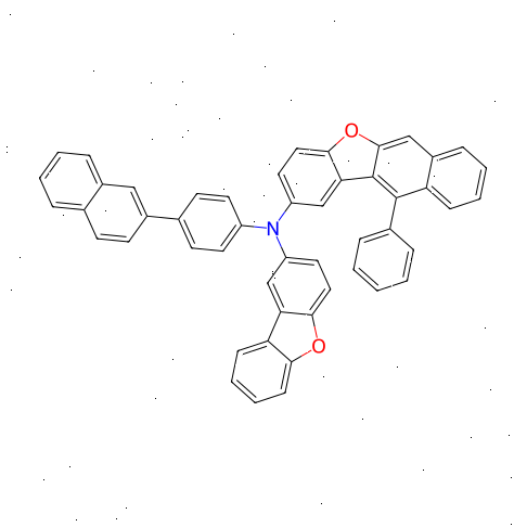 c1ccc(-c2c3ccccc3cc3oc4ccc(N(c5ccc(-c6ccc7ccccc7c6)cc5)c5ccc6oc7ccccc7c6c5)cc4c23)cc1